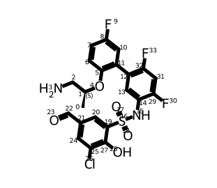 C[C@@H](CN)Oc1ccc(F)cc1-c1cc(NS(=O)(=O)c2cc(C=O)cc(Cl)c2O)c(F)cc1F